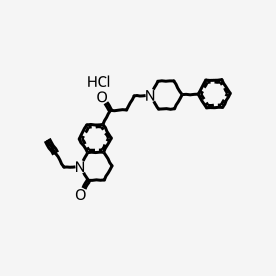 C#CCN1C(=O)CCc2cc(C(=O)CCN3CCC(c4ccccc4)CC3)ccc21.Cl